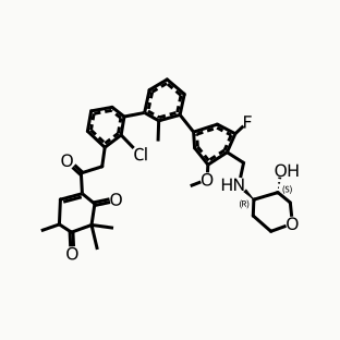 COc1cc(-c2cccc(-c3cccc(CC(=O)C4=CC(C)C(=O)C(C)(C)C4=O)c3Cl)c2C)cc(F)c1CN[C@@H]1CCOC[C@H]1O